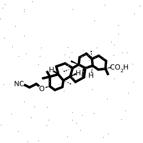 CC1(C)[C@@H](OCCC#N)CC[C@]2(C)[C@H]3CC=C4[C@@H]5C[C@@](C)(C(=O)O)CC[C@]5(C)CC[C@@]4(C)[C@]3(C)CC[C@@H]12